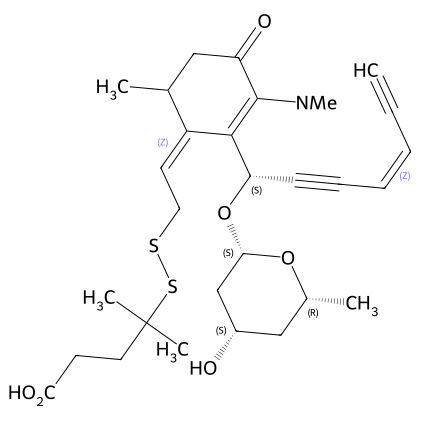 C#C/C=C\C#C[C@H](O[C@H]1C[C@@H](O)C[C@@H](C)O1)C1=C(NC)C(=O)CC(C)/C1=C/CSSC(C)(C)CCC(=O)O